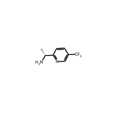 C[C@@H](N)c1ccc(C(F)(F)F)cn1